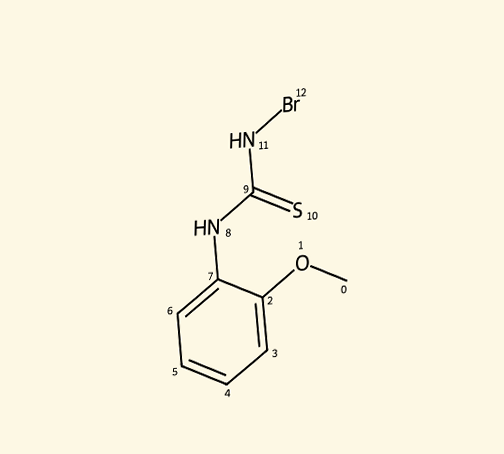 COc1ccccc1NC(=S)NBr